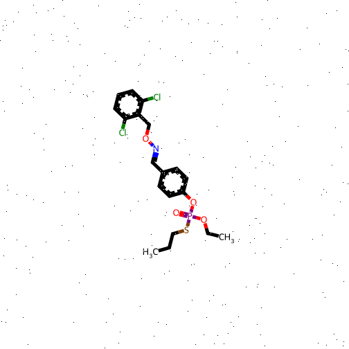 CCCSP(=O)(OCC)Oc1ccc(C=NOCc2c(Cl)cccc2Cl)cc1